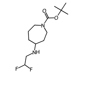 CC(C)(C)OC(=O)N1CCCC(NCC(F)F)CC1